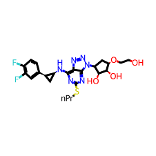 CCCSc1nc(N[C@@H]2C[C@H]2c2ccc(F)c(F)c2)c2nnn(C3C[C@H](OCCO)[C@@H](O)[C@H]3O)c2n1